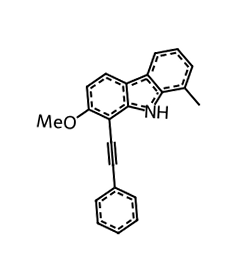 COc1ccc2c([nH]c3c(C)cccc32)c1C#Cc1ccccc1